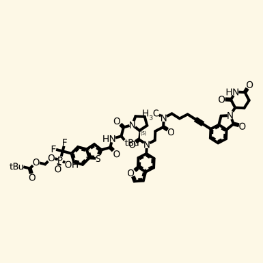 CN(CCCC#Cc1cccc2c1CN(C1CCC(=O)NC1=O)C2=O)C(=O)CCN(C(=O)[C@@H]1CCCN1C(=O)C(NC(=O)c1cc2cc(C(F)(F)P(=O)(O)OCOC(=O)C(C)(C)C)ccc2s1)C(C)(C)C)c1ccc2ccoc2c1